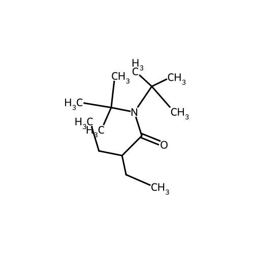 CCC(CC)C(=O)N(C(C)(C)C)C(C)(C)C